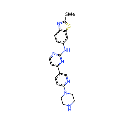 CSc1nc2ccc(Nc3nccc(-c4ccc(N5CCNCC5)nc4)n3)cc2s1